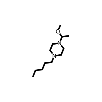 CCCCCN1CCN(C(C)OC)CC1